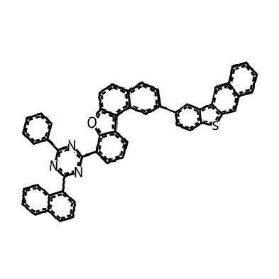 c1ccc(-c2nc(-c3cccc4ccccc34)nc(-c3cccc4c3oc3ccc5ccc(-c6ccc7sc8cc9ccccc9cc8c7c6)cc5c34)n2)cc1